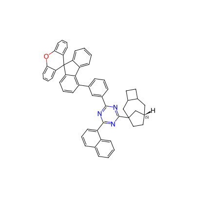 c1cc(-c2nc(-c3cccc4ccccc34)nc(C34CC[C@@H](CC5CCC5C3)C4)n2)cc(-c2cccc3c2-c2ccccc2C32c3ccccc3Oc3ccccc32)c1